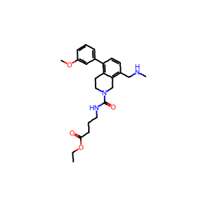 CCOC(=O)CCCNC(=O)N1CCc2c(-c3cccc(OC)c3)ccc(CNC)c2C1